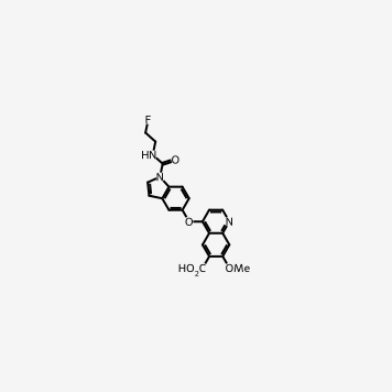 COc1cc2nccc(Oc3ccc4c(ccn4C(=O)NCCF)c3)c2cc1C(=O)O